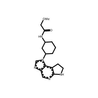 COCC(=O)NC1CCCC(n2cnc3cnc4c(c32)CCN4)C1